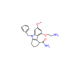 COc1cc(OCCN)c2c3c(n(Cc4ccccc4)c2c1)CCCC3C(N)=O